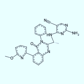 COc1cccc(-c2cccc3nc([C@@H](C)Nc4nc(N)ncc4C#N)n(-c4ccccc4)c(=O)c23)n1